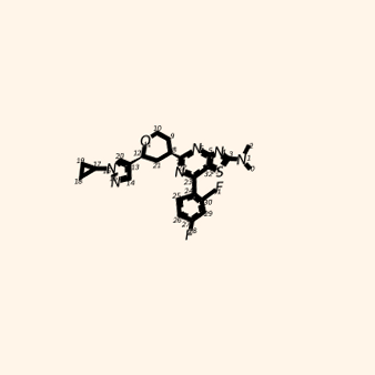 CN(C)c1nc2nc([C@@H]3CCO[C@H](c4cnn(C5CC5)c4)C3)nc(-c3ccc(F)cc3F)c2s1